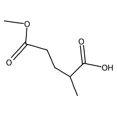 COC(=O)CCC(C)C(=O)O